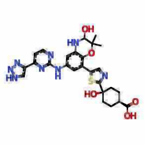 CC1(C)Oc2c(cc(Nc3nccc(-c4c[nH]nn4)n3)cc2-c2cnc([C@]3(O)CC[C@@H](C(=O)O)CC3)s2)NC1O